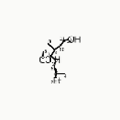 CC(=O)O.CCC(C)=CCCC(C)CCO